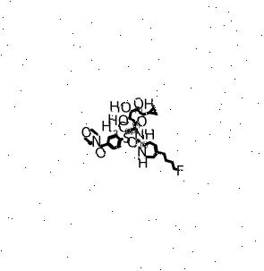 C[C@H](Sc1ccc(C(=O)N2CCOCC2)cc1)[C@@H](NC(=O)[C@@H]1CC=C(CCCCF)CCN1)[C@H]1OC(C2CC2)[C@H](O)C(O)C1O